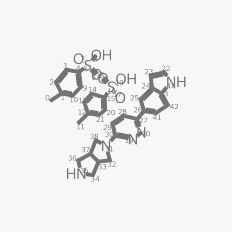 Cc1ccc(S(=O)(=O)O)cc1.Cc1ccc(S(=O)(=O)O)cc1.c1cc2cc(-c3ccc(N4CC5CNCC5C4)nn3)ccc2[nH]1